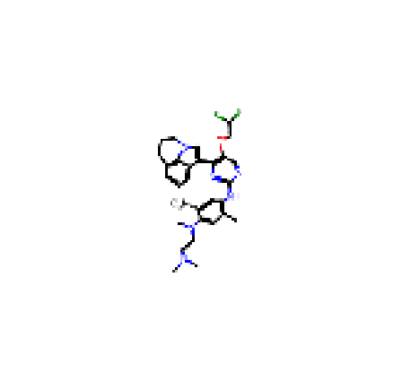 Cc1cc(N(C)CCN(C)C)c([N+](=O)[O-])cc1Nc1ncc(OCC(F)F)c(-c2cn3c4c(cccc24)CCC3)n1